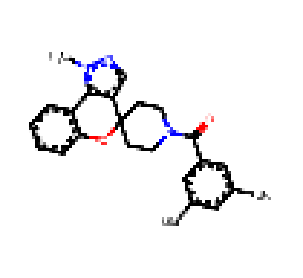 Cn1ncc2c1-c1ccccc1OC21CCN(C(=O)c2cc(C(C)(C)C)cc(C(C)(C)C)c2)CC1